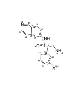 NCC(C(=O)Nc1ccc2cnccc2c1)c1cccc(O)c1